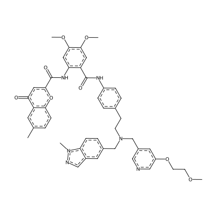 COCCOc1cncc(CN(CCc2ccc(NC(=O)c3cc(OC)c(OC)cc3NC(=O)c3cc(=O)c4cc(C)ccc4o3)cc2)Cc2ccc3c(cnn3C)c2)c1